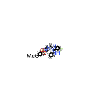 COc1ccc(S(=O)(=O)N2CCN(C(C)c3nc(NC4CCCCC4)c4cc(F)ccc4n3)CC2)cc1